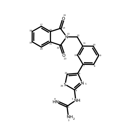 N=C(N)Nc1nc(-c2cccc(CN3C(=O)c4ccccc4C3=O)c2)cs1